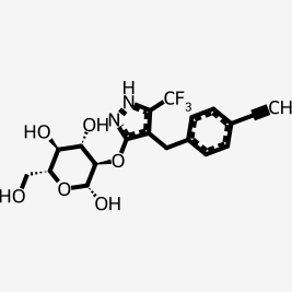 C#Cc1ccc(Cc2c(O[C@@H]3[C@@H](O)[C@H](O)[C@@H](CO)O[C@H]3O)n[nH]c2C(F)(F)F)cc1